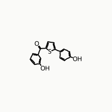 O=C(c1cccc(O)c1)c1ccc(-c2ccc(O)cc2)s1